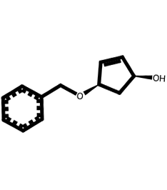 O[C@@H]1C=C[C@H](OCc2ccccc2)C1